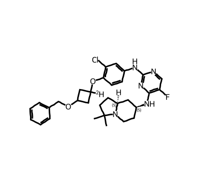 [2H]C1(Oc2ccc(Nc3ncc(F)c(N[C@H]4CCN5[C@@H](CCC5(C)C)C4)n3)cc2Cl)CC(OCc2ccccc2)C1